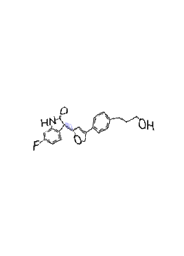 O=C1Nc2cc(F)ccc2/C1=C1/C=C(c2ccc(CCCO)cc2)CO1